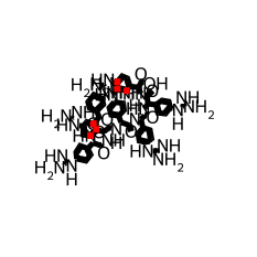 N=C(N)Nc1ccc(C(NC(=O)C(NC(=O)C(NC(=O)C(NC(=O)C(NC(=O)C(NC(=O)OCc2ccccc2)c2ccc(NC(=N)N)cc2)c2ccc(NC(=N)N)cc2)c2ccc(NC(=N)N)cc2)c2ccc(NC(=N)N)cc2)c2ccc(NC(=N)N)cc2)C(=O)O)cc1